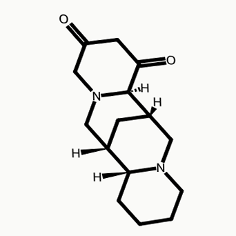 O=C1CC(=O)[C@H]2[C@H]3C[C@@H](CN2C1)[C@H]1CCCCN1C3